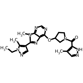 CCn1ncc(-c2nc3c(OC4CCN(C(=O)c5[nH]ncc5C)C4)ncnc3n2C)c1C